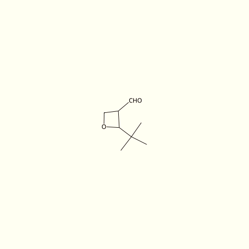 CC(C)(C)C1OCC1C=O